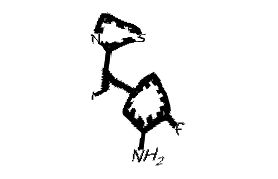 Nc1cc(C(I)c2nccs2)ccc1F